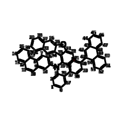 c1ccc(N(c2ccc3c(ccc4ccccc43)c2)c2cccc3oc4cc5ccccc5cc4c23)c(-c2ccc(-c3cc4ccccc4c4ccccc34)cc2)c1